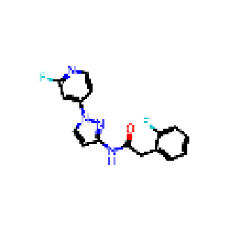 O=C(Cc1ccccc1F)Nc1ccn(-c2ccnc(F)c2)n1